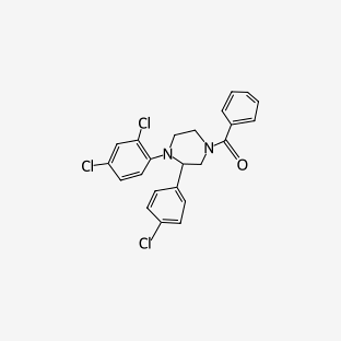 O=C(c1ccccc1)N1CCN(c2ccc(Cl)cc2Cl)C(c2ccc(Cl)cc2)C1